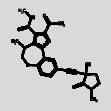 CNC(=O)c1c(C(N)=O)nn2c1C(C)COc1ccc(C#CC3(O)CCN(C)C3=O)cc1-2